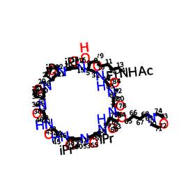 CC[C@@H]1NC(=O)[C@H]([C@H](O)[C@H](C)CCCCNC(C)=O)N(C)C(=O)[C@H](C(C)C)N(C)C(=O)[C@H](CC(C)C)N(C)C(=O)[C@H](CC(C)C)N(C)C(=O)[C@@H](C)NC(=O)[C@H](C)NC(=O)[C@H](CC(C)C)N(C)C(=O)[C@H](C(C)C)NC(=O)[C@H]([C@@H](C)OCCCCN2CCOCC2)N(C)C(=O)[C@@H](C)N(C)C1=O